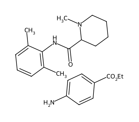 CCOC(=O)c1ccc(N)cc1.Cc1cccc(C)c1NC(=O)C1CCCCN1C